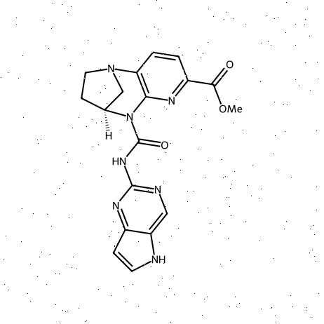 COC(=O)c1ccc2c(n1)N(C(=O)Nc1ncc3[nH]ccc3n1)[C@H]1CCN2C1